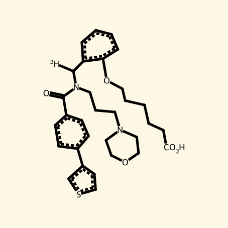 [2H]C(c1ccccc1OCCCCCC(=O)O)N(CCCN1CCOCC1)C(=O)c1ccc(-c2ccsc2)cc1